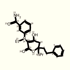 CCCC1(CCc2ccccc2)CC(O)=C(N(CC)c2cccc(C(N)=O)c2)C(=O)O1